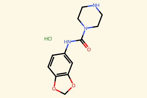 Cl.O=C(Nc1ccc2c(c1)OCO2)N1CCNCC1